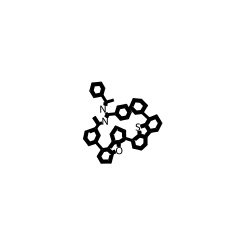 C=C(/N=C(\N=C(/C)c1ccccc1)c1ccccc1)c1cccc(-c2cccc3oc4c(-c5cccc6c5sc5c(-c7ccccc7)cccc56)cccc4c23)c1